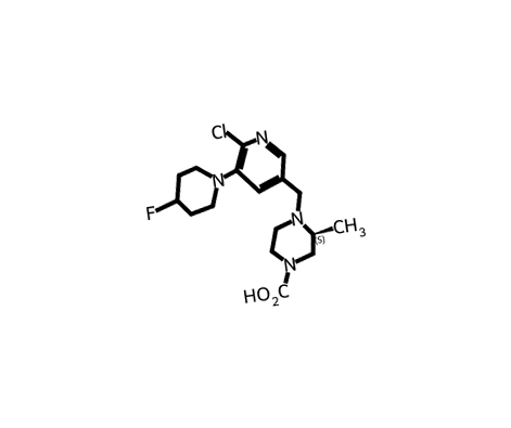 C[C@H]1CN(C(=O)O)CCN1Cc1cnc(Cl)c(N2CCC(F)CC2)c1